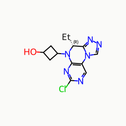 CC[C@@H]1c2nncn2-c2cnc(Cl)nc2N1C1CC(O)C1